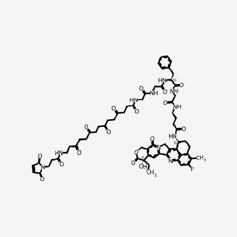 CC[C@@]1(O)C(=O)OCc2c1cc1n(c2=O)Cc2c-1nc1cc(F)c(C)c3c1c2[C@@H](NC(=O)CCCNC(=O)CNC(=O)[C@H](Cc1ccccc1)NC(=O)CNC(=O)CNC(=O)CCC(=O)CCC(=O)CCC(=O)CCC(=O)CCNC(=O)CCN1C(=O)C=CC1=O)CC3